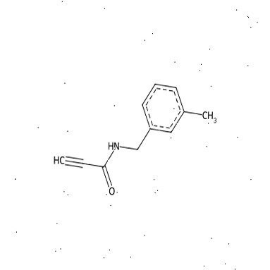 C#CC(=O)NCc1cccc(C)c1